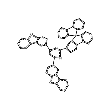 c1ccc2c(c1)-c1ccccc1C21c2ccccc2-c2ccc(-c3nc(-c4ccc5oc6ccccc6c5c4)nc(-c4ccc5oc6ccccc6c5c4)n3)cc21